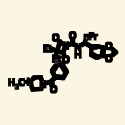 CCCC(NC(=O)N1C(=O)C(CC)(CC)C1Oc1ccc(C(=O)N2CCN(C)CC2)cc1)c1ccc2c(c1)OCO2